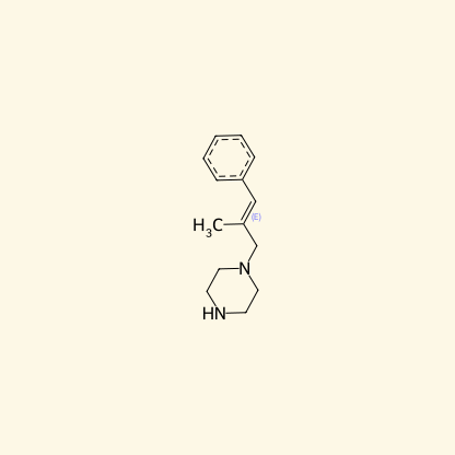 C/C(=C\c1ccccc1)CN1CCNCC1